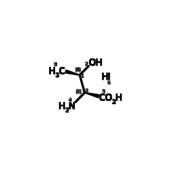 C[C@@H](O)[C@H](N)C(=O)O.I